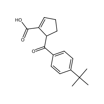 CC(C)(C)c1ccc(C(=O)C2CCC=C2C(=O)O)cc1